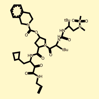 C=CCNC(=O)C(=O)C(CC1CCC1)NC(=O)C1CC(OC(=O)N2CCc3ccccc3C2)CN1C(=O)C(NC(=O)NC(CN(C)S(C)(=O)=O)C(C)(C)C)C(C)(C)C